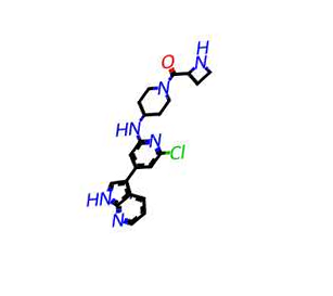 O=C(C1CCN1)N1CCC(Nc2cc(-c3c[nH]c4ncccc34)cc(Cl)n2)CC1